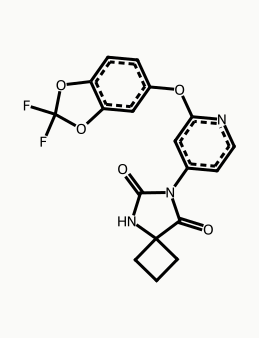 O=C1NC2(CCC2)C(=O)N1c1ccnc(Oc2ccc3c(c2)OC(F)(F)O3)c1